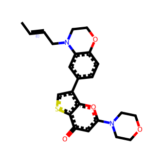 C/C=C/CN1CCOc2ccc(-c3csc4c(=O)cc(N5CCOCC5)oc34)cc21